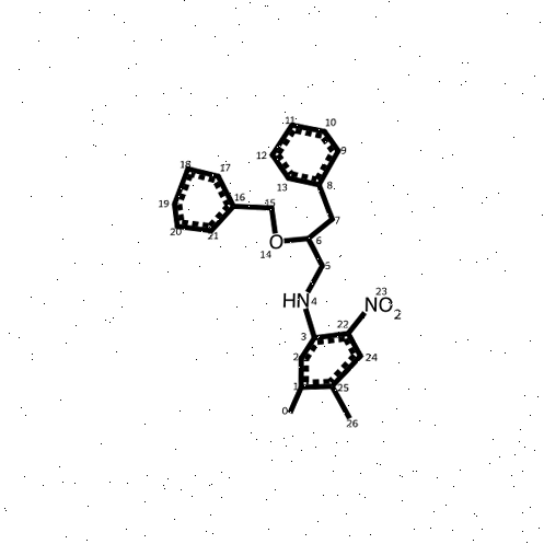 Cc1cc(NCC(Cc2ccccc2)OCc2ccccc2)c([N+](=O)[O-])cc1C